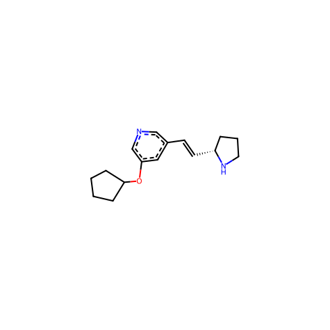 C(=C[C@@H]1CCCN1)c1cncc(OC2CCCC2)c1